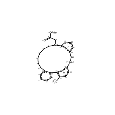 COC(=O)CN1CCCCCCc2ccccc2-c2nc(ccc2C(F)(F)F)NSc2cccc1n2